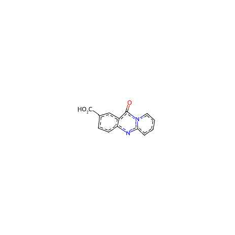 O=C(O)c1ccc2nc3ccccn3c(=O)c2c1